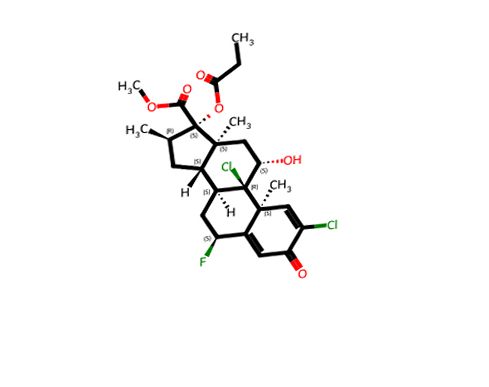 CCC(=O)O[C@@]1(C(=O)OC)[C@H](C)C[C@H]2[C@@H]3C[C@H](F)C4=CC(=O)C(Cl)=C[C@]4(C)[C@@]3(Cl)[C@@H](O)C[C@@]21C